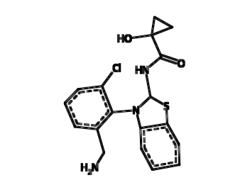 NCc1cccc(Cl)c1N1c2ccccc2SC1NC(=O)C1(O)CC1